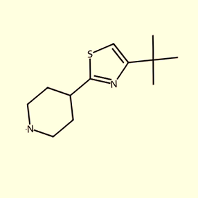 CC(C)(C)c1csc(C2CC[N]CC2)n1